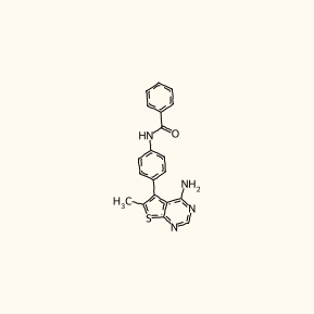 Cc1sc2ncnc(N)c2c1-c1ccc(NC(=O)c2ccccc2)cc1